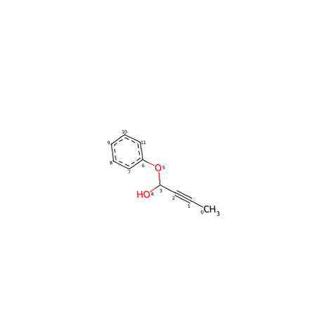 CC#CC(O)Oc1ccccc1